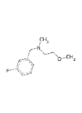 COCCN(C)Cc1cccc(F)c1